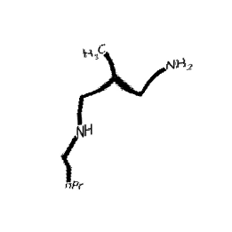 CCCCNCC(C)CN